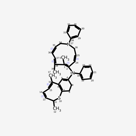 CC1=C(N(C2=CC3=C(CC2)SC(C)/C=C\C=C\3C)c2ccccc2)\C=C/CN(c2ccccc2)C/C=C\C=C\1C